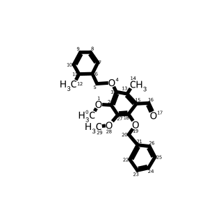 COc1c(OCC2C=CC=CC2C)c(C)c(C=O)c(OCc2ccccc2)c1OC